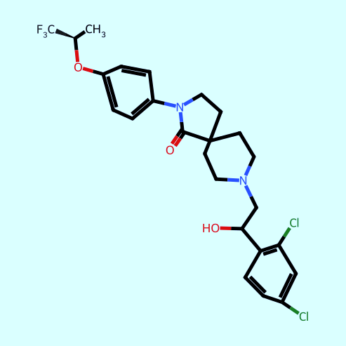 C[C@@H](Oc1ccc(N2CCC3(CCN(CC(O)c4ccc(Cl)cc4Cl)CC3)C2=O)cc1)C(F)(F)F